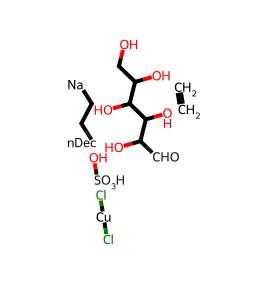 C=C.CCCCCCCCCCC[CH2][Na].O=CC(O)C(O)C(O)C(O)CO.O=S(=O)(O)O.[Cl][Cu][Cl]